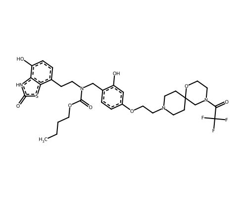 CCCCOC(=O)N(CCc1ccc(O)c2[nH]c(=O)sc12)Cc1ccc(OCCN2CCC3(CC2)CN(C(=O)C(F)(F)F)CCO3)cc1O